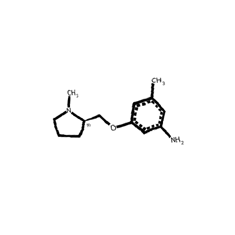 Cc1cc(N)cc(OC[C@H]2CCCN2C)c1